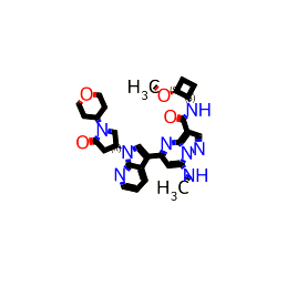 CNc1cc(-c2cn([C@@H]3CC(=O)N(C4CCOCC4)C3)c3ncccc23)nc2c(C(=O)N[C@H]3CC[C@@H]3OC)cnn12